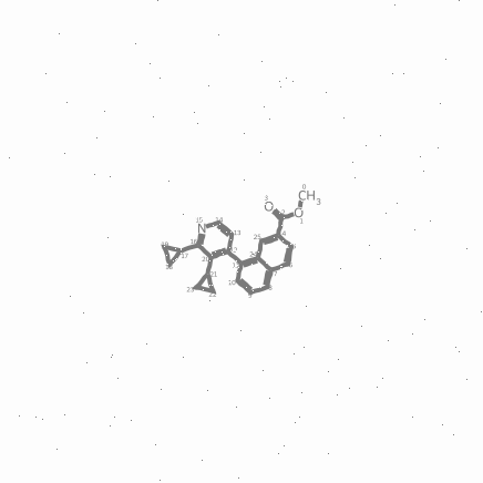 COC(=O)c1ccc2cccc(-c3ccnc(C4CC4)c3C3CC3)c2c1